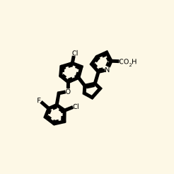 O=C(O)c1cccc(C2=C(c3cc(Cl)ccc3OCc3c(F)cccc3Cl)CCC2)n1